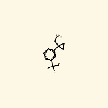 CCC1(c2cccc(C(F)(F)F)c2)CC1